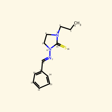 CCCN1CCN(N=Cc2ccccc2)C1=S